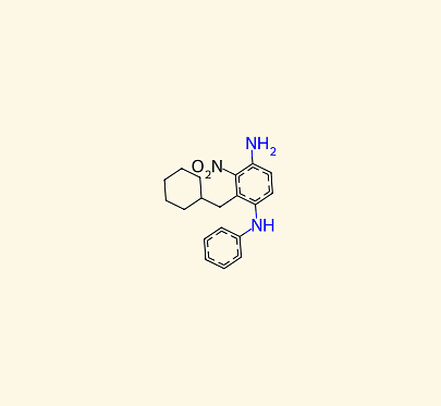 Nc1ccc(Nc2ccccc2)c(CC2CCCCC2)c1[N+](=O)[O-]